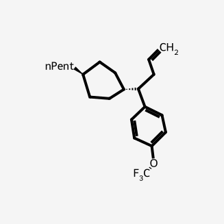 C=CCC(c1ccc(OC(F)(F)F)cc1)[C@H]1CC[C@H](CCCCC)CC1